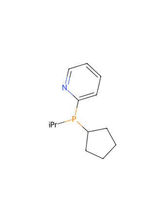 CC(C)P(c1ccccn1)C1CCCC1